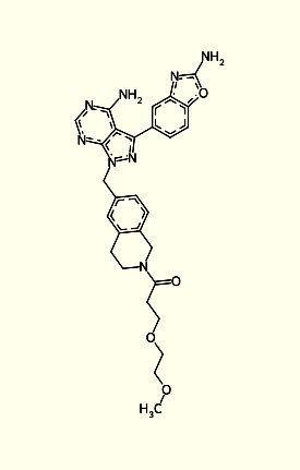 COCCOCCC(=O)N1CCc2cc(Cn3nc(-c4ccc5oc(N)nc5c4)c4c(N)ncnc43)ccc2C1